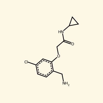 NCc1ccc(Cl)cc1OCC(=O)NC1CC1